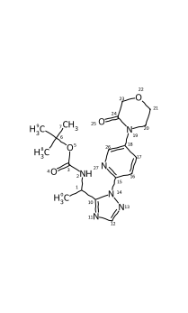 CC(NC(=O)OC(C)(C)C)c1ncnn1-c1ccc(N2CCOCC2=O)cn1